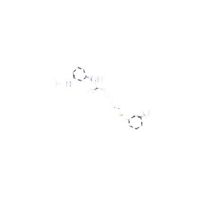 Nc1cccc(NC(=O)CCCCCSc2cccc(Cl)c2)c1